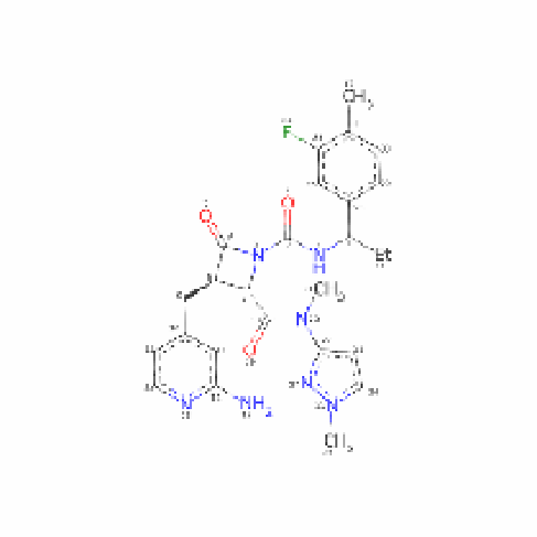 CCC(NC(=O)N1C(=O)[C@H](Cc2ccnc(N)c2)[C@H]1C(=O)N(C)c1ccn(C)n1)c1ccc(C)c(F)c1